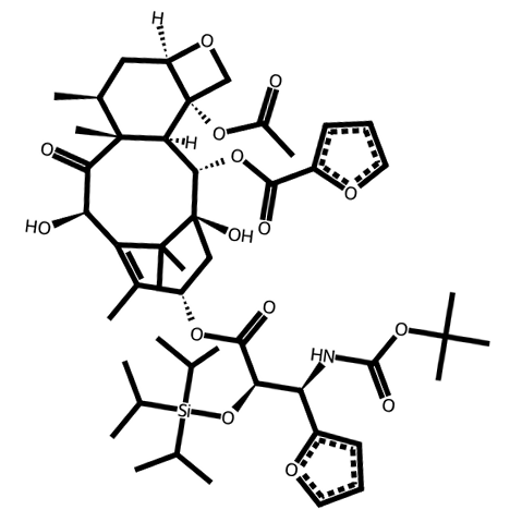 CC(=O)O[C@@]12CO[C@@H]1C[C@H](C)[C@@]1(C)C(=O)[C@H](O)C3=C(C)[C@@H](OC(=O)[C@H](O[Si](C(C)C)(C(C)C)C(C)C)[C@@H](NC(=O)OC(C)(C)C)c4ccco4)C[C@@](O)([C@@H](OC(=O)c4ccco4)[C@H]21)C3(C)C